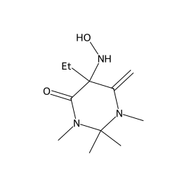 C=C1N(C)C(C)(C)N(C)C(=O)C1(CC)NO